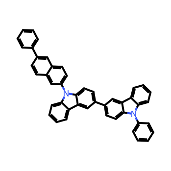 c1ccc(-c2ccc3cc(-n4c5ccccc5c5cc(-c6ccc7c(c6)c6ccccc6n7-c6ccccc6)ccc54)ccc3c2)cc1